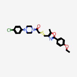 CCOc1ccc(-c2nc(CSCC(=O)N3CCN(c4ccc(Cl)cc4)CC3)c(C)o2)cc1